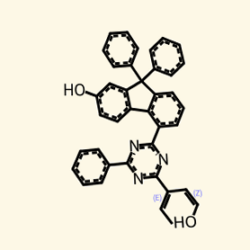 C/C=C(\C=C/O)c1nc(-c2ccccc2)nc(-c2cccc3c2-c2ccc(O)cc2C3(c2ccccc2)c2ccccc2)n1